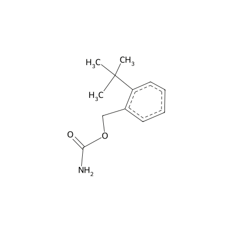 CC(C)(C)c1ccccc1COC(N)=O